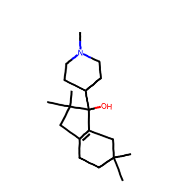 CN1CCC(C2(O)C3=C(CCC(C)(C)C3)CC2(C)C)CC1